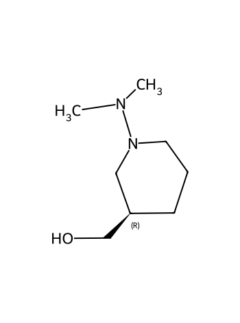 CN(C)N1CCC[C@@H](CO)C1